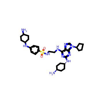 NC1CCC(Nc2ccc(S(=O)(=O)NCCNc3nc(N[C@H]4CC[C@H](N)CC4)nc4c3ncn4C3CCCC3)cc2)CC1